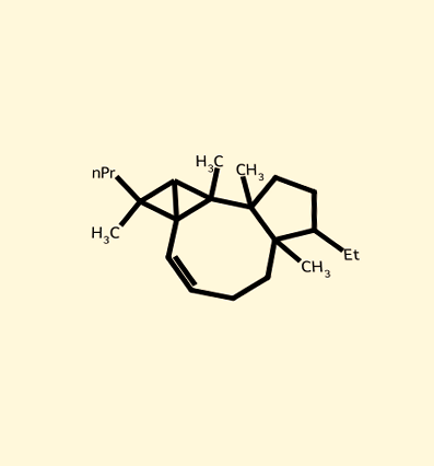 CCCC1(C)C2C3(C)C4(C)CCC(CC)C4(C)CCC=CC213